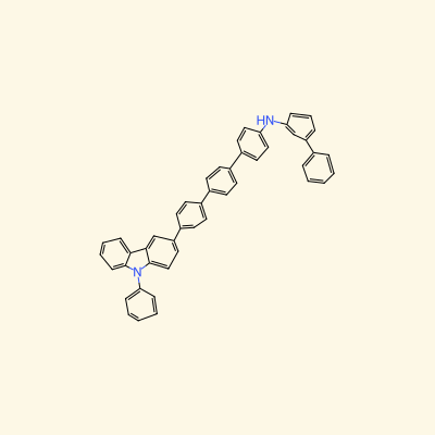 c1ccc(-c2cccc(Nc3ccc(-c4ccc(-c5ccc(-c6ccc7c(c6)c6ccccc6n7-c6ccccc6)cc5)cc4)cc3)c2)cc1